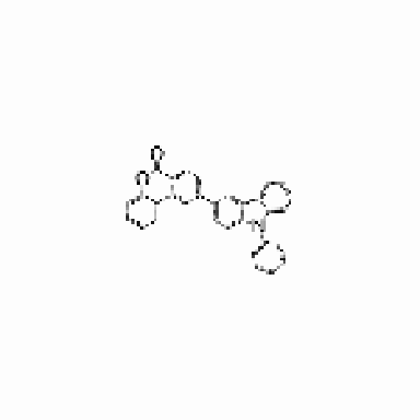 O=c1oc2ccccc2c2cc(-c3ccc4c(c3)c3ccccc3n4-c3ccccc3)ccc12